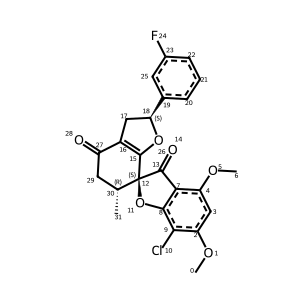 COc1cc(OC)c2c(c1Cl)O[C@]1(C2=O)C2=C(C[C@@H](c3cccc(F)c3)O2)C(=O)C[C@H]1C